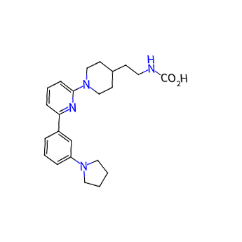 O=C(O)NCCC1CCN(c2cccc(-c3cccc(N4CCCC4)c3)n2)CC1